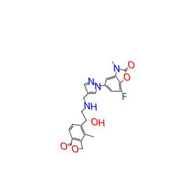 Cc1c([C@@H](O)CNCc2cnn(-c3cc(F)c4oc(=O)n(C)c4c3)c2)ccc2c1COC2=O